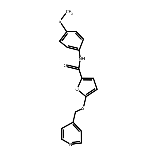 O=C(Nc1ccc(SC(F)(F)F)cc1)c1ccc(SCc2ccncc2)o1